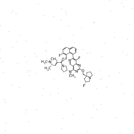 C[C@@H](/C=C/C(=O)N1CC[C@@H](N(C)c2nc(OC[C@@]34CCCN3C[C@H](F)C4)nc3c(F)c(-c4cccc5ccc(F)c(F)c45)ncc23)C1)N(C)C